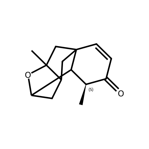 C[C@@H]1C(=O)C=CC23CC4CC(OC4(C)C2)C13